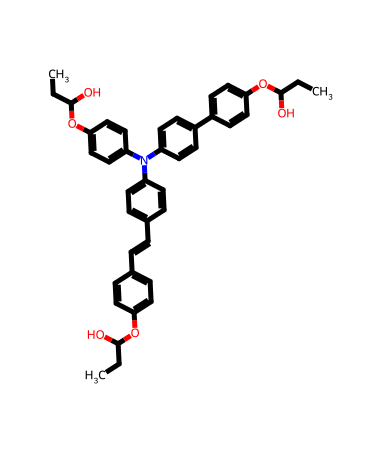 CCC(O)Oc1ccc(C=Cc2ccc(N(c3ccc(OC(O)CC)cc3)c3ccc(-c4ccc(OC(O)CC)cc4)cc3)cc2)cc1